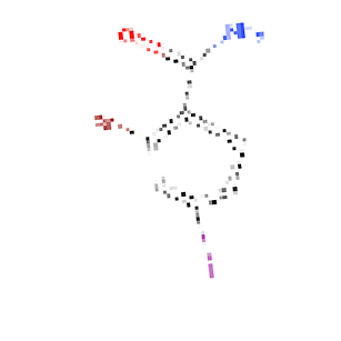 NC(=O)c1ccc(I)cc1Br